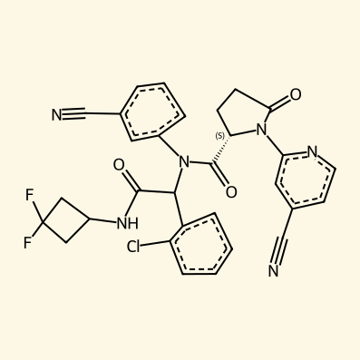 N#Cc1cccc(N(C(=O)[C@@H]2CCC(=O)N2c2cc(C#N)ccn2)C(C(=O)NC2CC(F)(F)C2)c2ccccc2Cl)c1